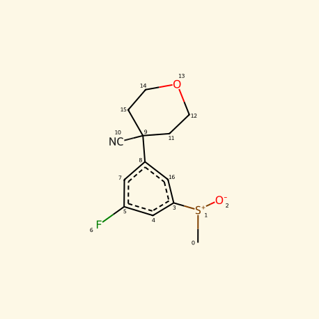 C[S+]([O-])c1cc(F)cc(C2(C#N)CCOCC2)c1